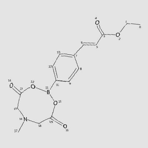 CCOC(=O)/C=C/c1ccc(B2OC(=O)CN(C)CC(=O)O2)cc1